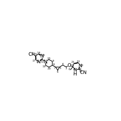 CC1(OCCC2CC2C2CCN(c3ncc(Cl)cn3)CC2)C=CN=C(C#N)N1